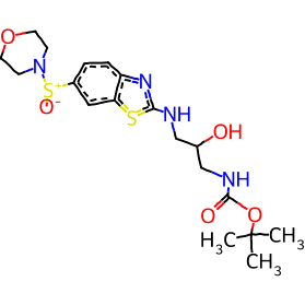 CC(C)(C)OC(=O)NCC(O)CNc1nc2ccc([S+]([O-])N3CCOCC3)cc2s1